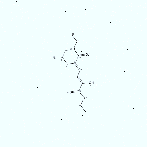 CCOC(=O)C(O)=CC=C(SC(C)C)C(=O)OCC